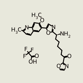 COc1cc2nc(C)ccc2cc1-c1cnc([C@@H](N)CCCCCC(=O)c2ncco2)o1.O=C(O)C(F)(F)F